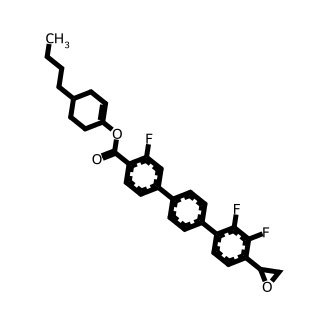 CCCCC1CC=C(OC(=O)c2ccc(-c3ccc(-c4ccc(C5CO5)c(F)c4F)cc3)cc2F)CC1